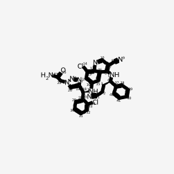 N#CCC[C@@H](Nc1c(C#N)cnc2c(Cl)cc(N[C@H](c3cn(CC(N)=O)nn3)c3ccccc3Cl)cc12)c1ccccc1